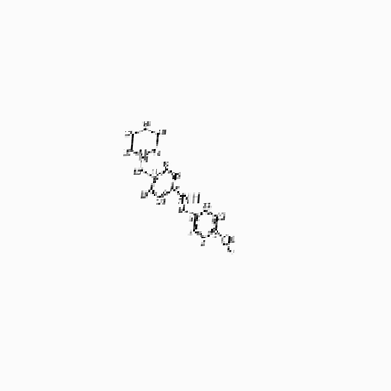 COc1ccc(CNc2ccc(CN3CCCCC3)cc2)cc1